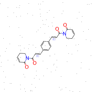 O=C1C=CCCN1C(=O)/C=C/c1ccc(/C=C/C(=O)N2CCC=CC2=O)cc1